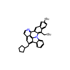 CC(C)(C)Cc1c2ccc(C(C)(C)C)cc2cc2c3nccc4cc(CC5CCCC5)c5c6ccccc6n(c12)c5c43